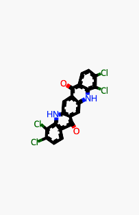 O=c1c2cc3[nH]c4c(Cl)c(Cl)ccc4c(=O)c3cc2[nH]c2c(Cl)c(Cl)ccc12